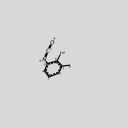 Cc1cccc(N=C=O)c1I